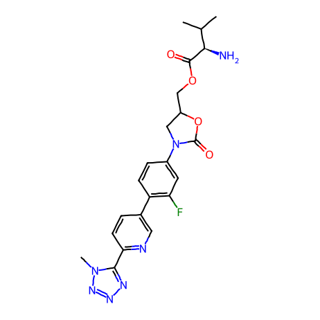 CC(C)[C@@H](N)C(=O)OCC1CN(c2ccc(-c3ccc(-c4nnnn4C)nc3)c(F)c2)C(=O)O1